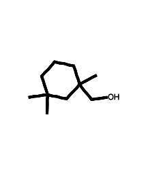 CC1(C)CCCC(C)(CO)C1